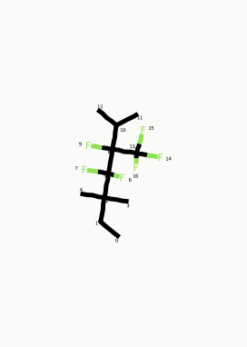 CCC(C)(C)C(F)(F)C(F)(C(C)C)C(F)(F)F